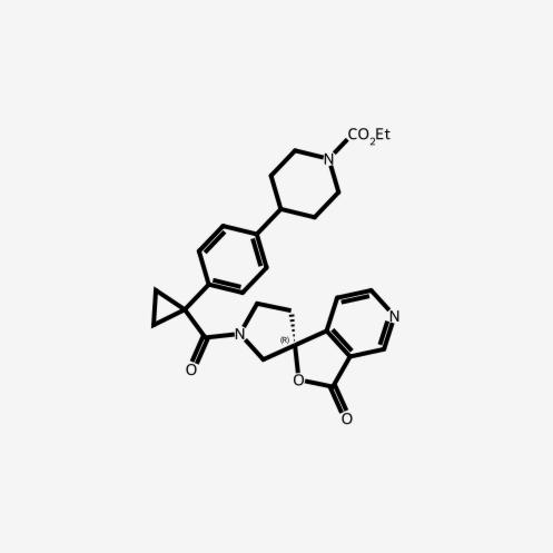 CCOC(=O)N1CCC(c2ccc(C3(C(=O)N4CC[C@@]5(C4)OC(=O)c4cnccc45)CC3)cc2)CC1